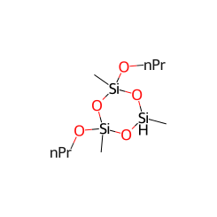 CCCO[Si]1(C)O[SiH](C)O[Si](C)(OCCC)O1